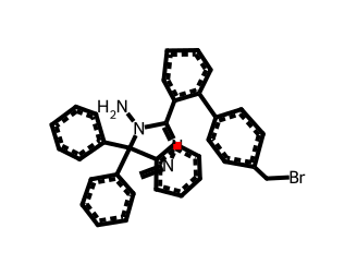 C=N/N=C(/c1ccccc1-c1ccc(CBr)cc1)N(N)C(c1ccccc1)(c1ccccc1)c1ccccc1